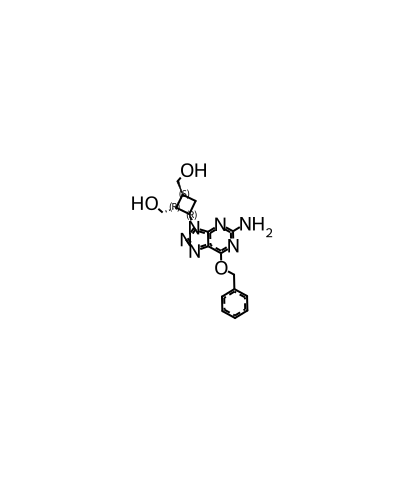 Nc1nc(OCc2ccccc2)c2nnn([C@@H]3C[C@H](CO)[C@H]3CO)c2n1